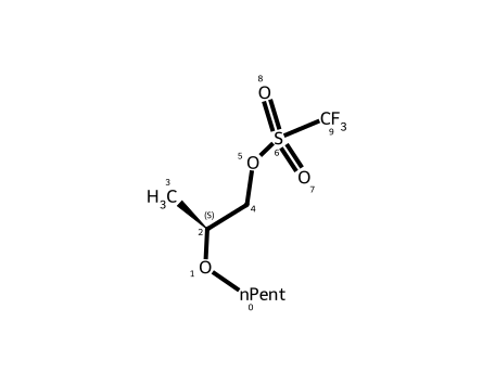 CCCCCO[C@@H](C)COS(=O)(=O)C(F)(F)F